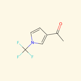 CC(=O)c1ccn(C(F)(F)F)c1